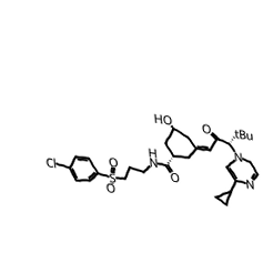 CC(C)(C)[C@@H](C(=O)/C=C1\C[C@H](O)C[C@@H](C(=O)NCCCS(=O)(=O)c2ccc(Cl)cc2)C1)N1C=C(C2CC2)N=CC1